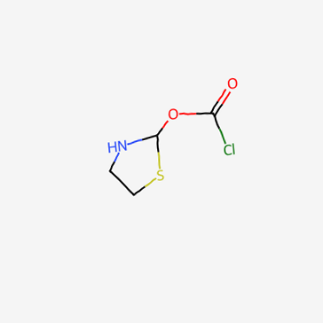 O=C(Cl)OC1NCCS1